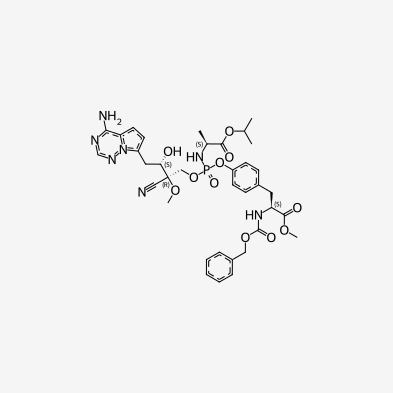 COC(=O)[C@H](Cc1ccc(OP(=O)(N[C@@H](C)C(=O)OC(C)C)OC[C@@](C#N)(OC)[C@@H](O)Cc2ccc3c(N)ncnn23)cc1)NC(=O)OCc1ccccc1